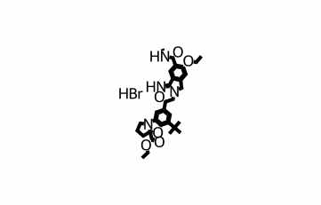 Br.CCOC(=O)C12CCCN1c1cc(C(=O)CN3Cc4cc(OCC)c(C(=O)NC)cc4C3=N)cc(C(C)(C)C)c1O2